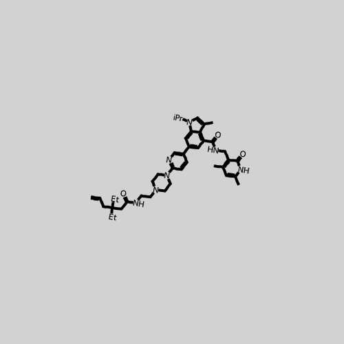 C=CCC(CC)(CC)CC(=O)NCCN1CCN(c2ccc(-c3cc(C(=O)NCc4c(C)cc(C)[nH]c4=O)c4c(C)cn(C(C)C)c4c3)cn2)CC1